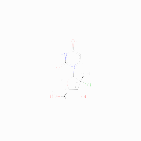 C[C@]1(Cl)C(n2ccc(=O)[nH]c2=O)O[C@H](CO)[C@H]1O